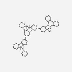 c1ccc(-n2c3ccccc3c3cc(-c4cc5c6ccccc6n6c7ccc(-c8ccc9oc%10c%11ccccc%11c%11ccccc%11c%10c9c8)cc7c(c4)c56)ccc32)cc1